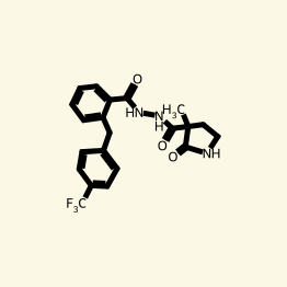 CC1(C(=O)NNC(=O)c2ccccc2Cc2ccc(C(F)(F)F)cc2)CCNC1=O